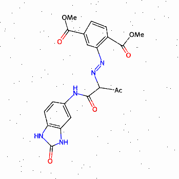 COC(=O)c1ccc(C(=O)OC)c(N=NC(C(C)=O)C(=O)Nc2ccc3[nH]c(=O)[nH]c3c2)c1